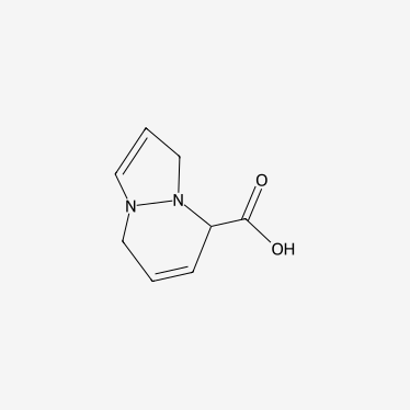 O=C(O)C1C=CCN2C=CCN12